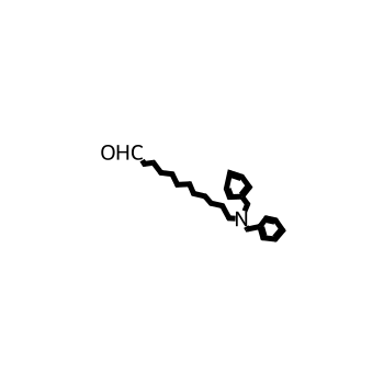 O=CCCCCCCCCCCCN(Cc1ccccc1)Cc1ccccc1